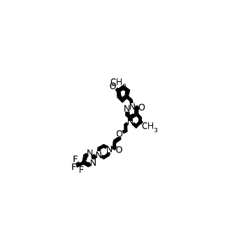 COc1ccc(Cn2ncc3c(c2=O)CC(C)CN3CCOC=CC(=O)N2CCN(c3ncc(C(F)(F)F)cn3)CC2)cc1